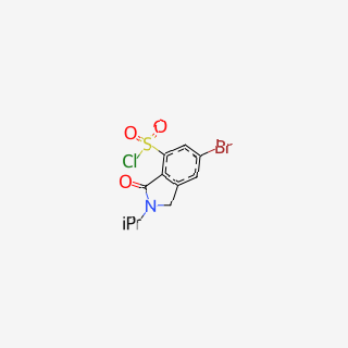 CC(C)N1Cc2cc(Br)cc(S(=O)(=O)Cl)c2C1=O